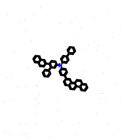 c1ccc(-c2ccc(N(c3ccc(-c4ccc5ccc6c7ccccc7ccc6c5c4)cc3)c3ccc(-c4ccc5ccccc5c4)c(-c4ccccc4)c3)cc2)cc1